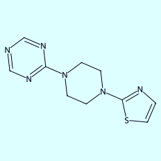 c1ncnc(N2CCN(c3nccs3)CC2)n1